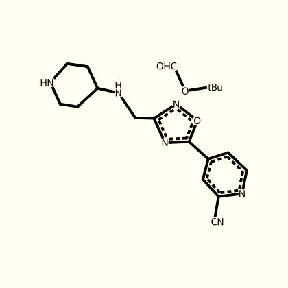 CC(C)(C)OC=O.N#Cc1cc(-c2nc(CNC3CCNCC3)no2)ccn1